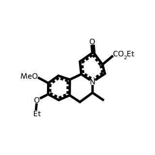 CCOC(=O)c1cn2c(cc1=O)-c1cc(OC)c(OCC)cc1CC2C